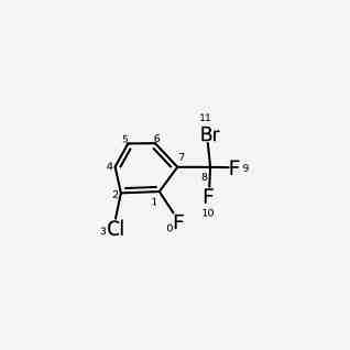 Fc1c(Cl)cccc1C(F)(F)Br